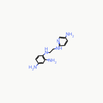 Nc1ccc(NCCNc2ccc(N)cc2N)nc1